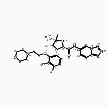 C[C@H]1[C@@H](c2ccc(F)c(F)c2OCCN2CCOCC2)[C@H](C(=O)Nc2ccc3cnnn3c2)O[C@@]1(C)C(F)(F)F